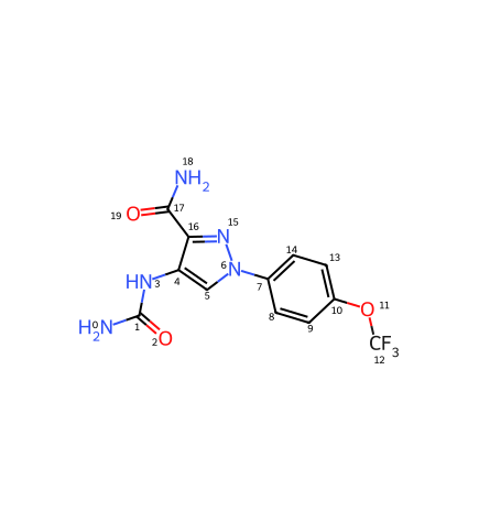 NC(=O)Nc1cn(-c2ccc(OC(F)(F)F)cc2)nc1C(N)=O